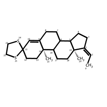 C/C=C1/CCC2C3CCC4=CC5(CC[C@]4(C)C3CC[C@]12C)SCCS5